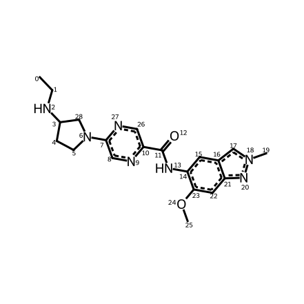 CCNC1CCN(c2cnc(C(=O)Nc3cc4cn(C)nc4cc3OC)cn2)C1